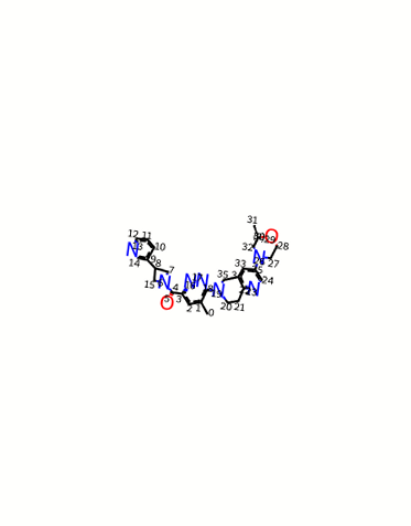 Cc1cc(C(=O)N2CC(c3cccnc3)C2)nnc1N1CCc2ncc(N3CCO[C@H](C)C3)cc2C1